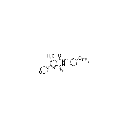 CCSc1nc(N2CCOCC2)cc(C)c1C(=O)NCc1cccc(OC(F)(F)F)c1